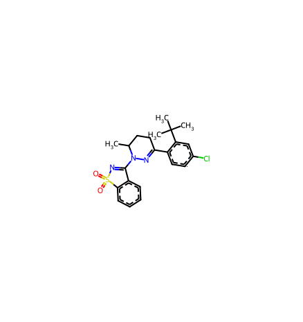 CC1CCC(c2c[c]c(Cl)cc2C(C)(C)C)=NN1C1=NS(=O)(=O)c2ccccc21